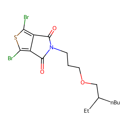 CCCCC(CC)COCCCN1C(=O)c2c(Br)sc(Br)c2C1=O